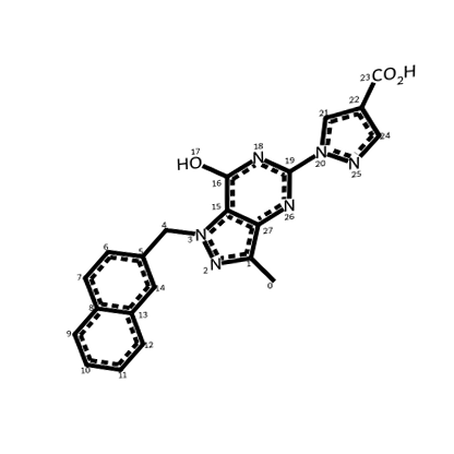 Cc1nn(Cc2ccc3ccccc3c2)c2c(O)nc(-n3cc(C(=O)O)cn3)nc12